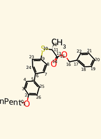 CCCCCOc1ccc(-c2ccc(S[C@H](C)C(=O)OCc3ccccc3)cc2)cc1